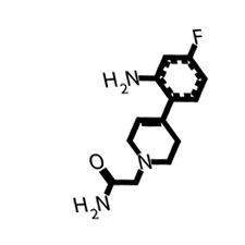 NC(=O)CN1CC=C(c2ccc(F)cc2N)CC1